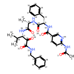 CC(=O)Nc1ccc(C(=O)N[C@@H](Cc2ccccc2)C(=O)N[C@@H](C)C(=O)N[C@H](C(=O)C(=O)NCc2ccccc2)C(C)C)cn1